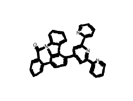 O=c1c2ccccc2c2ccc(-c3cc(-c4ccccn4)nc(-c4ccccn4)c3)c3c4ccccc4n1c23